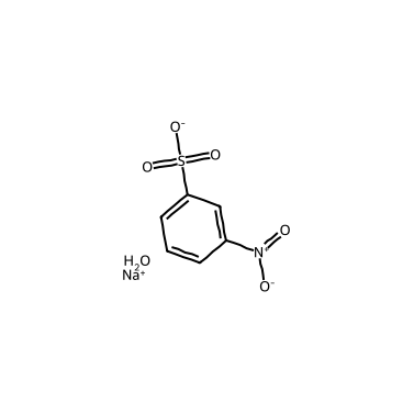 O.O=[N+]([O-])c1cccc(S(=O)(=O)[O-])c1.[Na+]